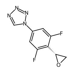 Fc1cc(-n2cnnn2)cc(F)c1[C@@H]1CO1